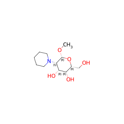 CO[C@@H]1O[C@H](CO)[C@H](O)[C@H](O)[C@@H]1N1CCCCC1